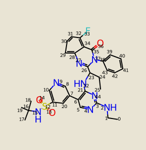 CCNc1ncc(-c2cncc(S(=O)(=O)NC(C)(C)C)c2)c(NC(CC)c2nc3cccc(F)c3c(=O)n2-c2ccccc2)n1